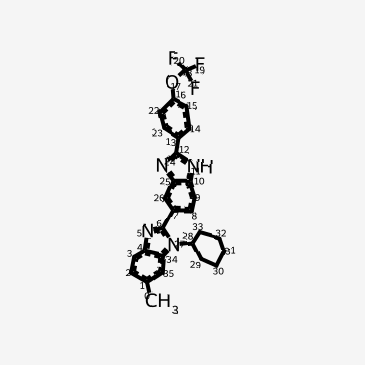 Cc1ccc2nc(-c3ccc4[nH]c(-c5ccc(OC(F)(F)F)cc5)nc4c3)n(C3CCCCC3)c2c1